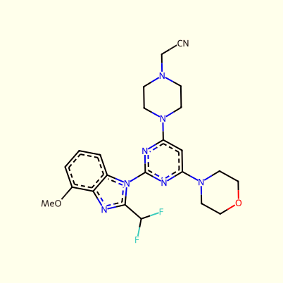 COc1cccc2c1nc(C(F)F)n2-c1nc(N2CCOCC2)cc(N2CCN(CC#N)CC2)n1